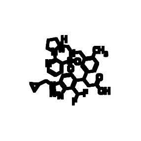 Cc1ccc(C(CC(=O)O)c2ccc3c(nnn3CC3CC3)c2C(F)F)cc1CN1C[C@H]2CCCN2c2ncccc2S1(=O)=O